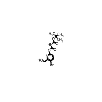 CC(C)(C)OC(=O)NC(=O)Oc1ccc(Br)c(CO)n1